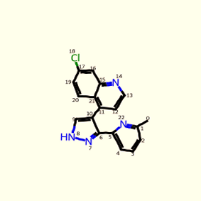 Cc1cccc(-c2n[nH]cc2-c2ccnc3cc(Cl)ccc23)n1